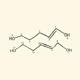 OC=CCCCO.OCC=CCCO